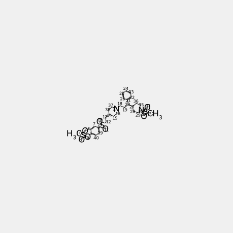 CS(=O)(=O)Oc1ccc(S(=O)(=O)CCC2CCN(CC[C@@H](c3ccccc3)C3CCN(S(C)(=O)=O)CC3)CC2)cc1